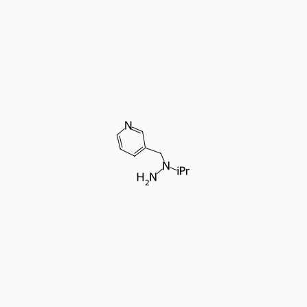 CC(C)N(N)Cc1cccnc1